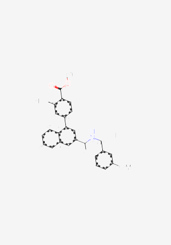 COc1cccc([C@@H](C)NC(C)c2cc(-c3ccc(C(=O)OC(C)C)c(C)c3)c3ccccc3c2)c1